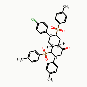 Cc1ccc([C@@H]2CC(=O)[C@@H]3CC(S(=O)(=O)c4ccc(C)cc4)[C@H](c4ccc(Cl)cc4)C[C@@H]3C2S(=O)(=O)c2ccc(C)cc2)cc1